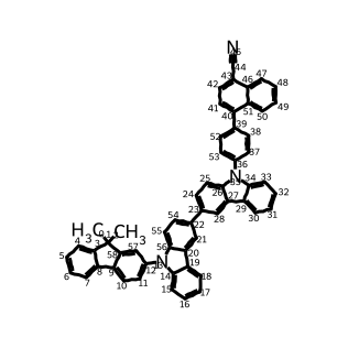 CC1(C)c2ccccc2-c2ccc(-n3c4ccccc4c4cc(-c5ccc6c(c5)c5ccccc5n6-c5ccc(-c6ccc(C#N)c7ccccc67)cc5)ccc43)cc21